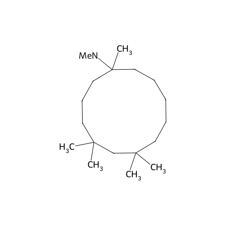 CNC1(C)CCCCCC(C)(C)CC(C)(C)CCC1